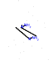 CCCCCCCCC=CCCCCCCCCCN(C)CCCN.CCCCCCCCCCCCCCCCCCC(C)N(CC)CCCN